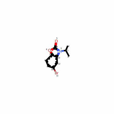 CC(C)n1c(=O)oc2ccc(Br)cc21